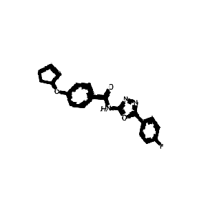 O=C(Nc1nnc(-c2ccc(F)cc2)o1)c1ccc(OC2CCCC2)cc1